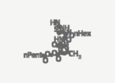 CCCCCCO/N=C(\C(=O)NC1C(=O)N2C(C(=O)OCOC(=O)CCCCC)=CC(C)S[C@H]12)c1csc(=N)[nH]1